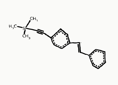 C[Si](C)(C)C#Cc1ccc([C]=Cc2ccccc2)cc1